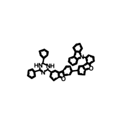 c1ccc(C2=NC(c3ccc4oc5cc(-c6ccc7oc8cccc(-n9c%10ccccc%10c%10ccccc%109)c8c7c6)ccc5c4c3)NC(c3ccccc3)N2)cc1